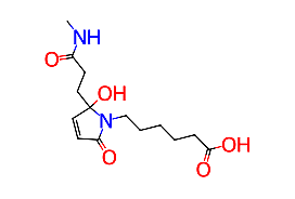 CNC(=O)CCC1(O)C=CC(=O)N1CCCCCC(=O)O